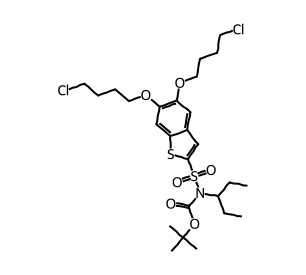 CCC(CC)N(C(=O)OC(C)(C)C)S(=O)(=O)c1cc2cc(OCCCCCl)c(OCCCCCl)cc2s1